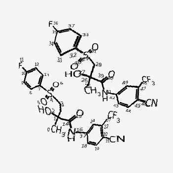 CC(O)(CS(=O)(=O)c1ccc(F)cc1)C(=O)Nc1ccc(C#N)c(C(F)(F)F)c1.CC(O)(CS(=O)(=O)c1ccc(F)cc1)C(=O)Nc1ccc(C#N)c(C(F)(F)F)c1